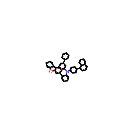 c1ccc(-c2cccc(N(c3ccc(-c4cccc5ccccc45)cc3)c3ccccc3-c3ccc4c(c3)oc3ccccc34)c2)cc1